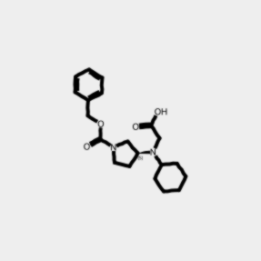 O=C(O)CN(C1CCCCC1)[C@H]1CCN(C(=O)OCc2ccccc2)C1